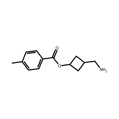 Cc1ccc(C(=O)OC2CC(CN)C2)cc1